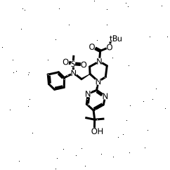 CC(C)(C)OC(=O)N1CCN(c2ncc(C(C)(C)O)cn2)[C@@H](CN(c2ccccc2)S(C)(=O)=O)C1